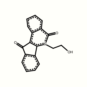 O=C1c2ccccc2-c2c1c1ccccc1c(=O)n2CCO